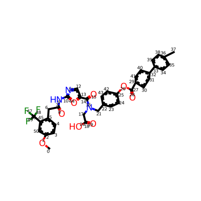 COc1ccc(CC(=O)Nc2ncc(C(=O)N(CC(=O)O)Cc3ccc(OC(=O)c4ccc(-c5ccc(C)cc5)cc4)cc3)o2)c(C(F)(F)F)c1